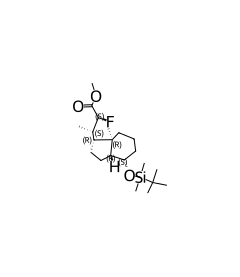 COC(=O)[C@@H](F)[C@@H](C)[C@H]1CC[C@H]2[C@@H](O[Si](C)(C)C(C)(C)C)CCC[C@]12C